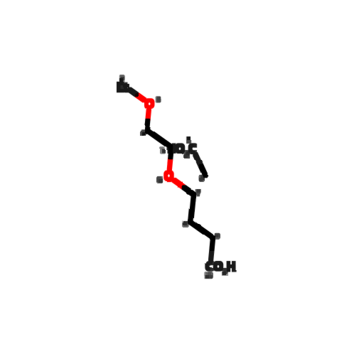 CC(=O)O.CCOCCOCCCC(=O)O